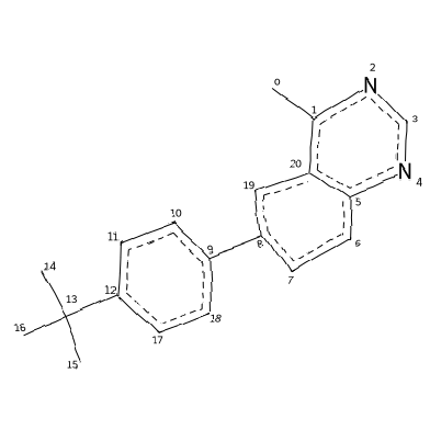 Cc1ncnc2ccc(-c3ccc(C(C)(C)C)cc3)cc12